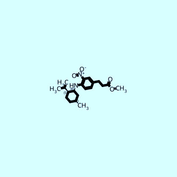 COC(=O)CCc1ccc(N[C@@H]2C[C@H](C)CC[C@H]2C(C)C)c([N+](=O)[O-])c1